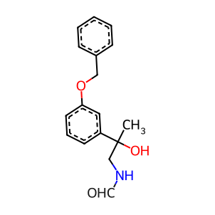 CC(O)(CNC=O)c1cccc(OCc2ccccc2)c1